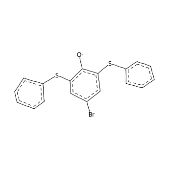 [O]c1c(Sc2ccccc2)cc(Br)cc1Sc1ccccc1